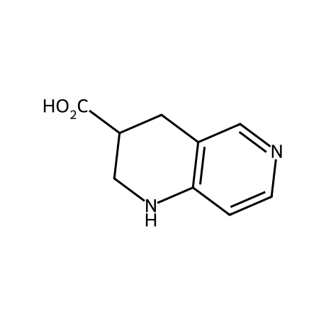 O=C(O)C1CNc2ccncc2C1